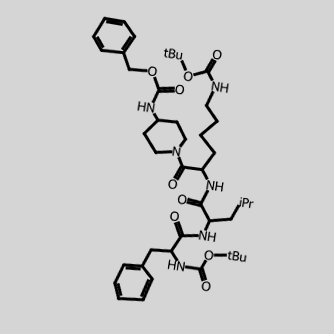 CC(C)CC(NC(=O)C(Cc1ccccc1)NC(=O)OC(C)(C)C)C(=O)NC(CCCCNC(=O)OC(C)(C)C)C(=O)N1CCC(NC(=O)OCc2ccccc2)CC1